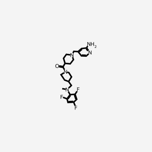 CN(CC1CCN(C(=O)C2CCN(Cc3ccnc(N)c3)CC2)CC1)c1c(F)cc(F)cc1F